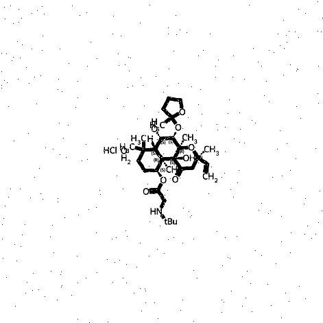 C=C[C@@]1(C)CC(=O)[C@]2(O)[C@@]3(C)[C@@H](OC(=O)CNC(C)(C)C)CCC(C)(C)[C@@H]3[C@H](O)[C@H](OC3(C)CCCO3)[C@@]2(C)O1.Cl.O